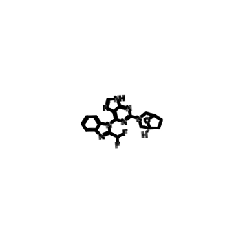 FC(F)c1nc2ccccc2n1-c1nc(N2CC3CC[C@@H](C2)O3)nc2[nH]cnc12